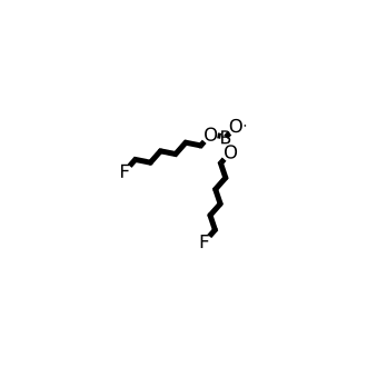 [O]B(OCCCCCCF)OCCCCCCF